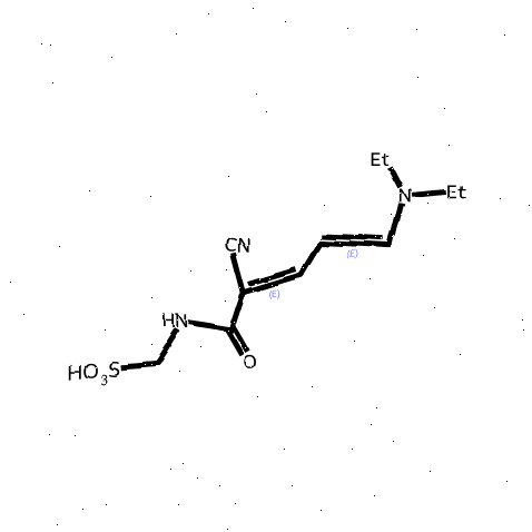 CCN(/C=C/C=C(\C#N)C(=O)NCS(=O)(=O)O)CC